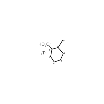 CC1CCCCC1C(=O)O.[Tl]